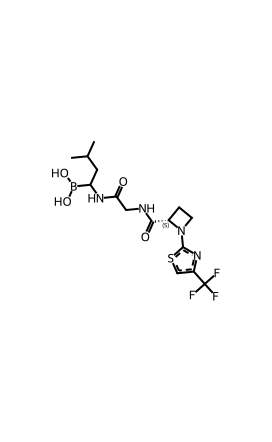 CC(C)CC(NC(=O)CNC(=O)[C@@H]1CCN1c1nc(C(F)(F)F)cs1)B(O)O